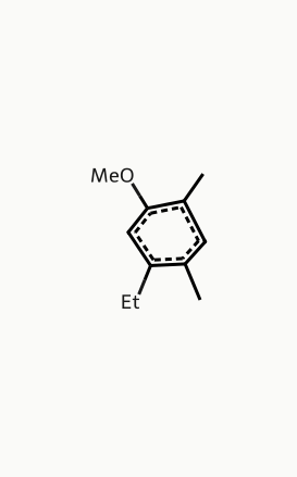 CCc1cc(OC)c(C)cc1C